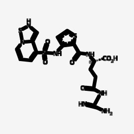 N=C(N)NC(=O)CC[C@H](NC(=O)c1sccc1NS(=O)(=O)C1=CC=CN2SNC=C12)C(=O)O